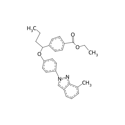 CCCC(Oc1ccc(-n2cc3cccc(C)c3n2)cc1)c1ccc(C(=O)OCC)cc1